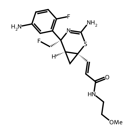 COCCNC(=O)C=C[C@]12C[C@H]1[C@@](CF)(c1cc(N)ccc1F)N=C(N)S2